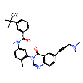 Cc1ccc(NC(=O)c2cccc(C(C)(C)C#N)c2)cc1-n1cnc2ccc(C#CCN(C)C)cc2c1=O